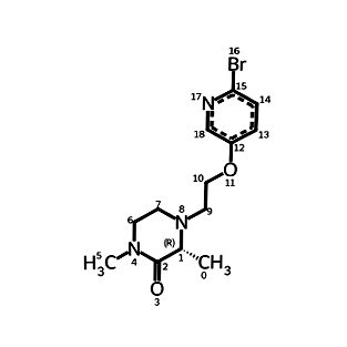 C[C@@H]1C(=O)N(C)CCN1CCOc1ccc(Br)nc1